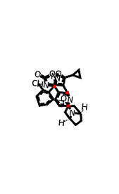 O=c1[nH]c(-c2ccc(N3[C@@H]4CC[C@H]3C[C@@H](OCc3c(-c5c(Cl)cccc5Cl)noc3C3CC3)C4)nc2)no1